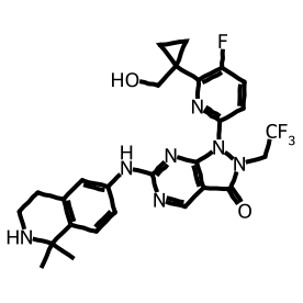 CC1(C)NCCc2cc(Nc3ncc4c(=O)n(CC(F)(F)F)n(-c5ccc(F)c(C6(CO)CC6)n5)c4n3)ccc21